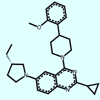 CC[C@H]1CCN(c2ccc3nc(C4CC4)nc(N4CCC(c5ccccc5OC)CC4)c3c2)C1